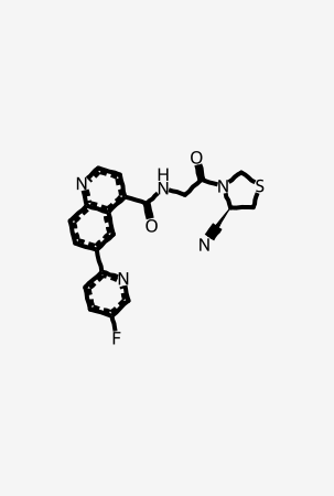 N#C[C@@H]1CSCN1C(=O)CNC(=O)c1ccnc2ccc(-c3ccc(F)cn3)cc12